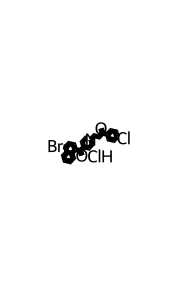 Cl.O=C(CCN1CCC(C(=O)c2ccc(Br)c3ccccc23)CC1)c1ccc(Cl)cc1